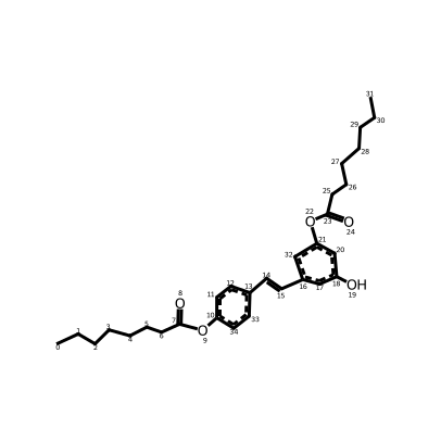 CCCCCCCC(=O)Oc1ccc(C=Cc2cc(O)cc(OC(=O)CCCCCCC)c2)cc1